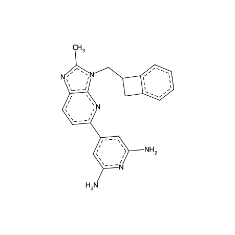 Cc1nc2ccc(-c3cc(N)nc(N)c3)nc2n1CC1Cc2ccccc21